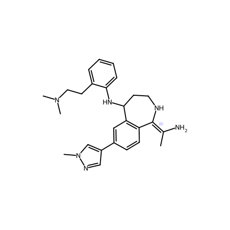 C/C(N)=C1/NCCC(Nc2ccccc2CCN(C)C)c2cc(-c3cnn(C)c3)ccc21